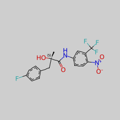 C[C@](O)(Cc1ccc(F)cc1)C(=O)Nc1ccc([N+](=O)[O-])c(C(F)(F)F)c1